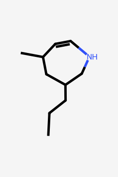 CCCC1CNC=CC(C)C1